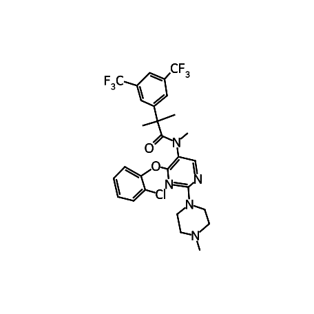 CN1CCN(c2ncc(N(C)C(=O)C(C)(C)c3cc(C(F)(F)F)cc(C(F)(F)F)c3)c(Oc3ccccc3Cl)n2)CC1